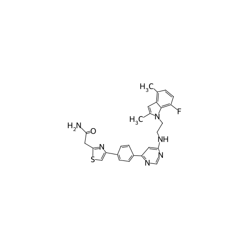 Cc1ccc(F)c2c1cc(C)n2CCNc1cc(-c2ccc(-c3csc(CC(N)=O)n3)cc2)ncn1